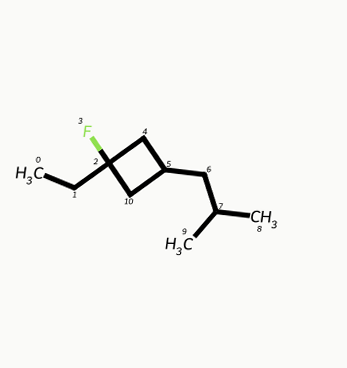 CCC1(F)CC(CC(C)C)C1